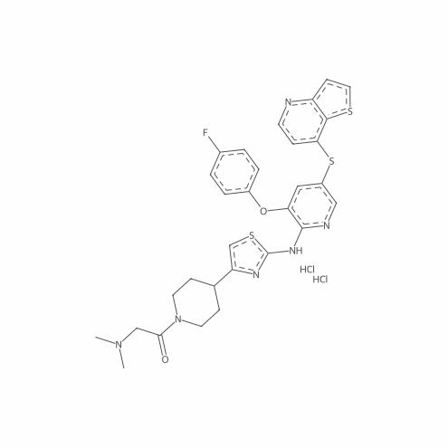 CN(C)CC(=O)N1CCC(c2csc(Nc3ncc(Sc4ccnc5ccsc45)cc3Oc3ccc(F)cc3)n2)CC1.Cl.Cl